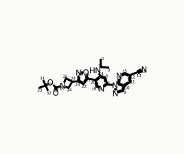 CC(C)Nc1cc(-n2ncc3cc(C#N)cnc32)ncc1-c1cc(C2CN(C(=O)OC(C)(C)C)C2)no1